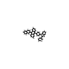 c1ccc(-c2nc3ccccc3n2-c2ccc(-c3c4ccccc4c(-c4ccc5ccccc5c4)c4ccccc34)cc2)nc1